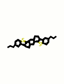 CCCc1ccc2sc3c4cc5ccc6c7cc(CCC)ccc7sc6c5cc4ccc3c2c1